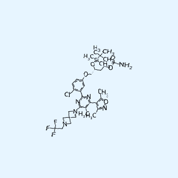 Cc1noc(C)c1-c1nc(-c2cc(OC[C@@H](CCOC(N)=O)O[Si](C)(C)C(C)(C)C)ccc2Cl)nc(N2CC3(CN(CC(F)(F)F)C3)C2)c1C